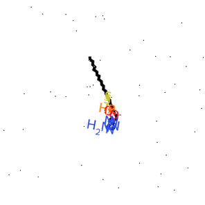 CCCCCCCCCCCCCCCCSSCCC[PH](=O)CO[C@H](C)Cn1cnc2c(N)ncnc21